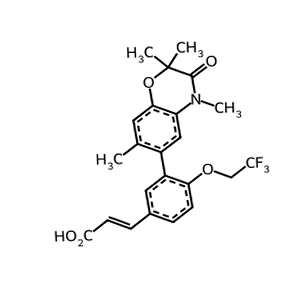 Cc1cc2c(cc1-c1cc(C=CC(=O)O)ccc1OCC(F)(F)F)N(C)C(=O)C(C)(C)O2